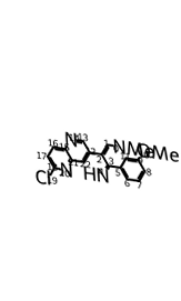 CN/C=C(\C(=N)c1cccc(OC)c1)c1cnc2ccc(Cl)nc2c1